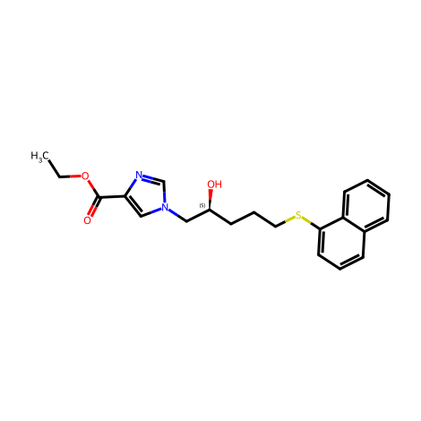 CCOC(=O)c1cn(C[C@@H](O)CCCSc2cccc3ccccc23)cn1